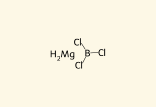 ClB(Cl)Cl.[MgH2]